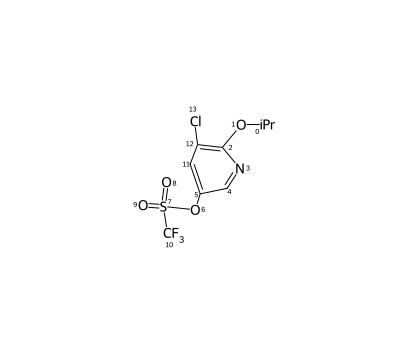 CC(C)Oc1ncc(OS(=O)(=O)C(F)(F)F)cc1Cl